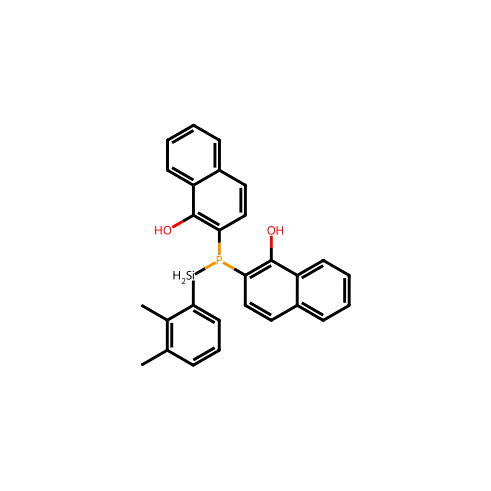 Cc1cccc([SiH2]P(c2ccc3ccccc3c2O)c2ccc3ccccc3c2O)c1C